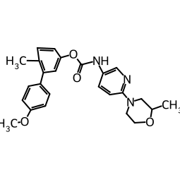 COc1ccc(-c2cc(OC(=O)Nc3ccc(N4CCOC(C)C4)nc3)ccc2C)cc1